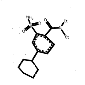 CCN(CC)C(=O)c1ccc(C2CCCCC2)cc1S(N)(=O)=O